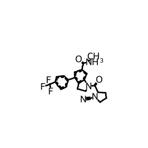 CNC(=O)c1cc(-c2ccc(C(F)(F)F)cc2)c2c(c1)N(C(=O)C1CCCN1C#N)CC2